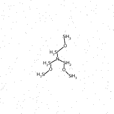 [SiH3]O[SiH2]N([SiH2]O[SiH3])[SiH2]O[SiH3]